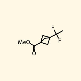 COC(=O)C12CC(C(C)(F)F)(C1)C2